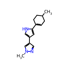 CC1CC=C(c2cc(-c3cnn(C)c3)c[nH]2)CC1